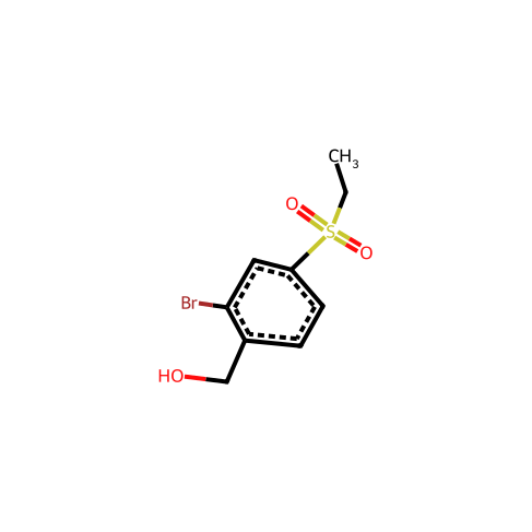 CCS(=O)(=O)c1ccc(CO)c(Br)c1